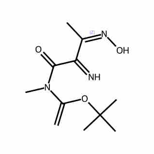 C=C(OC(C)(C)C)N(C)C(=O)C(=N)/C(C)=N\O